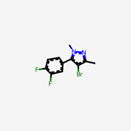 Cc1nn(C)c(-c2ccc(F)c(F)c2)c1Br